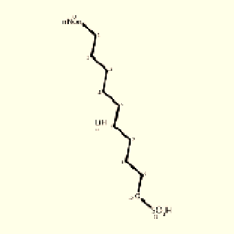 CCCCCCCCCCCCCCCCCCOS(=O)(=O)O.[LiH]